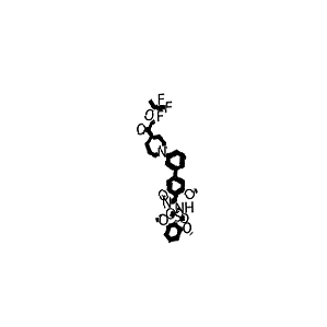 COc1cccc(OC)c1S(=O)(=O)Nc1noc2cc(-c3cccc(N4CCCC(C(=O)COC(C)C(F)(F)F)CC4)c3)cc(OC)c12